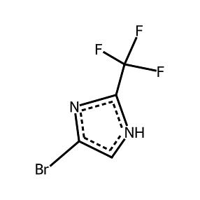 FC(F)(F)c1nc(Br)c[nH]1